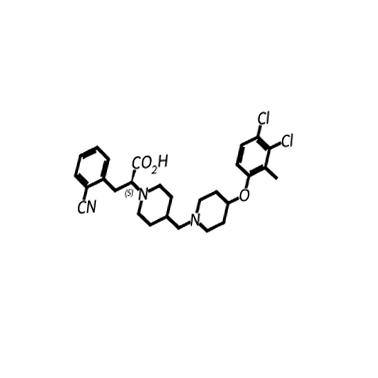 Cc1c(OC2CCN(CC3CCN([C@@H](Cc4ccccc4C#N)C(=O)O)CC3)CC2)ccc(Cl)c1Cl